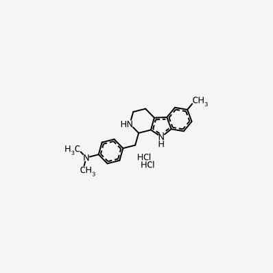 Cc1ccc2[nH]c3c(c2c1)CCNC3Cc1ccc(N(C)C)cc1.Cl.Cl